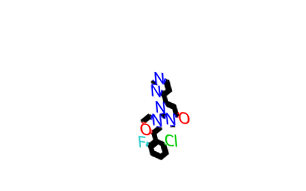 Cn1c(N2CCOC(c3c(F)cccc3Cl)C2)nc(-c2ccncn2)cc1=O